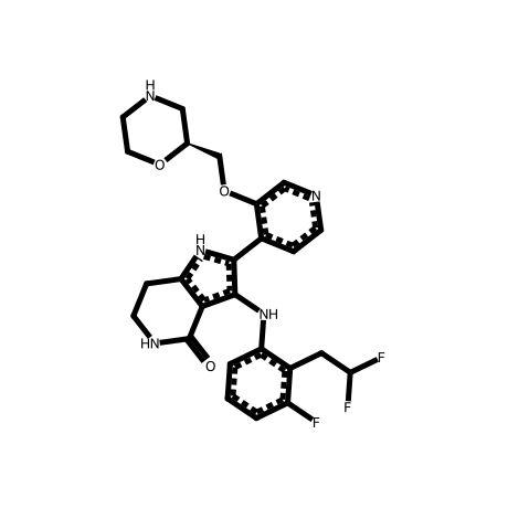 O=C1NCCc2[nH]c(-c3ccncc3OC[C@@H]3CNCCO3)c(Nc3cccc(F)c3CC(F)F)c21